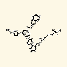 O=C(CCCCCC(=O)NCc1ccccc1-c1ccc([C@H]2O[C@@H](CSc3nc4ccccc4s3)C[C@@H](c3ccc(CO)cc3)O2)cc1)NO